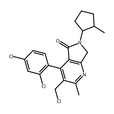 Cc1nc2c(c(-c3ccc(Cl)cc3Cl)c1CCl)C(=O)N(C1CCCC1C)C2